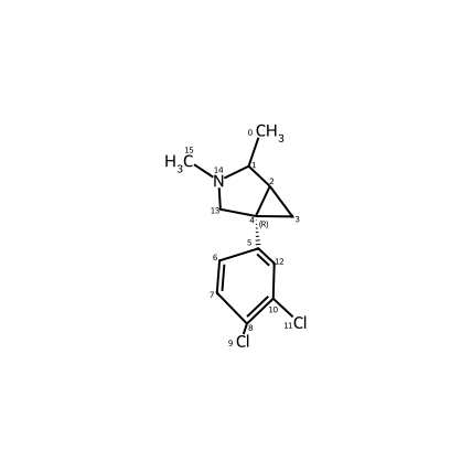 CC1C2C[C@@]2(c2ccc(Cl)c(Cl)c2)CN1C